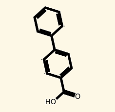 O=C(O)c1[c][c]c(-c2[c]cccc2)cc1